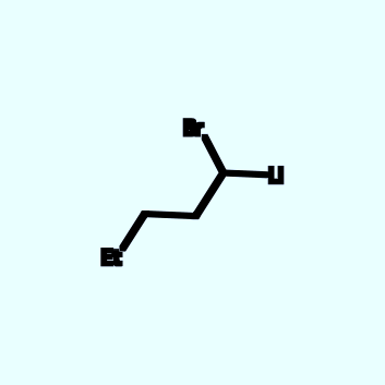 [Li][CH](Br)CCCC